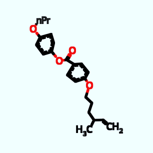 C=CC(C)CCCOc1ccc(C(=O)Oc2ccc(OCCC)cc2)cc1